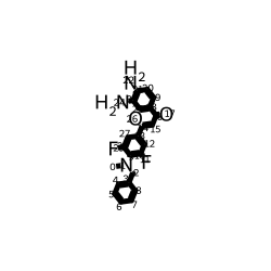 CN(Cc1ccccc1)c1c(F)cc(-c2cc(=O)c3ccc(N)c(N)c3o2)cc1F